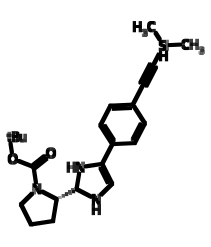 C[SiH](C)C#Cc1ccc(C2=CNC([C@@H]3CCCN3C(=O)OC(C)(C)C)N2)cc1